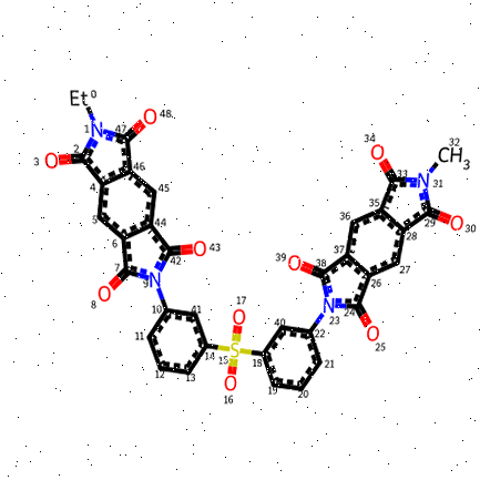 CCn1c(=O)c2cc3c(=O)n(-c4cccc(S(=O)(=O)c5cccc(-n6c(=O)c7cc8c(=O)n(C)c(=O)c8cc7c6=O)c5)c4)c(=O)c3cc2c1=O